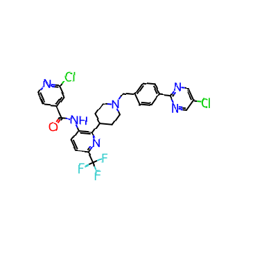 O=C(Nc1ccc(C(F)(F)F)nc1C1CCN(Cc2ccc(-c3ncc(Cl)cn3)cc2)CC1)c1ccnc(Cl)c1